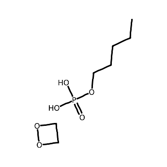 C1COO1.CCCCCOP(=O)(O)O